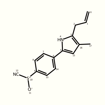 C=CCc1[nH]c(-c2ccc([S+]([O-])C#N)cc2)cc1C